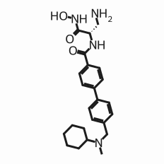 CN(Cc1ccc(-c2ccc(C(=O)N[C@@H](CN)C(=O)NO)cc2)cc1)C1CCCCC1